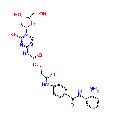 Nc1ccccc1NC(=O)c1ccc(NC(=O)CCOC(=O)Nc2ncn([C@H]3C[C@H](O)[C@@H](CO)O3)c(=O)n2)cc1